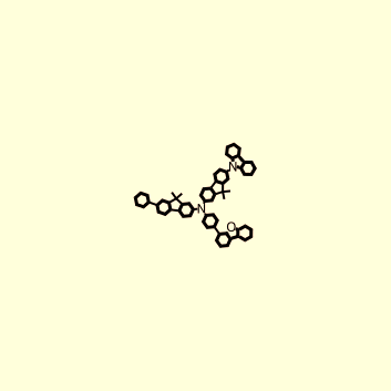 CC1(C)c2cc(-c3ccccc3)ccc2-c2ccc(N(c3ccc(-c4cccc5c4oc4ccccc45)cc3)c3ccc4c(c3)C(C)(C)c3cc(-n5c6ccccc6c6ccccc65)ccc3-4)cc21